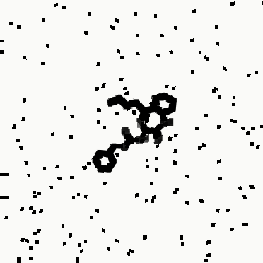 C=CCCC1=N[C@H](NC(=O)OCc2ccccc2)C(=O)Nc2ccccc21